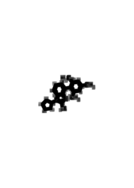 CCc1nc2c(-c3c(C)cc(C)cc3C)cccc2n1C1CCCC1